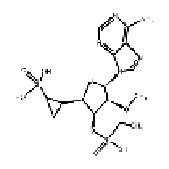 CCP(=O)(S)O[C@@H]1[C@H](OC)[C@H](n2cnc3c(N)ncnc32)O[C@@H]1C1CC1P(=O)(O)O